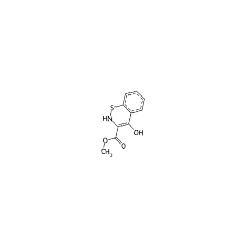 COC(=O)C1=C(O)c2ccccc2SN1